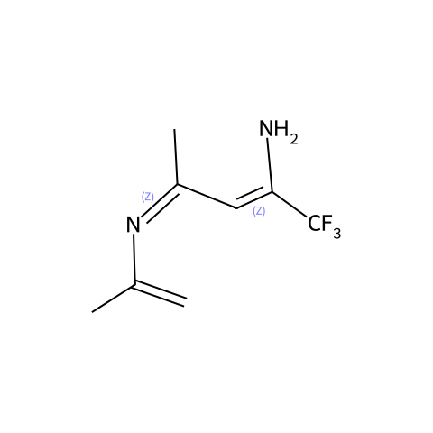 C=C(C)/N=C(C)\C=C(/N)C(F)(F)F